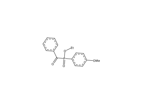 CCOP(=O)(C(=O)c1ccccc1)c1ccc(OC)cc1